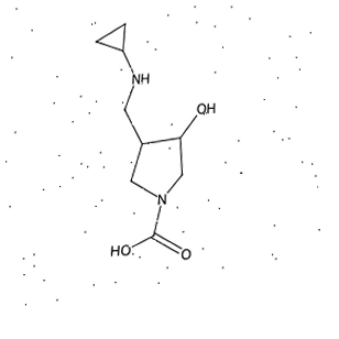 O=C(O)N1CC(O)C(CNC2CC2)C1